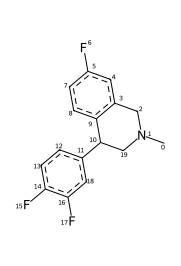 CN1Cc2cc(F)ccc2C(c2ccc(F)c(F)c2)C1